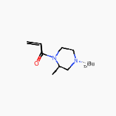 C=CC(=O)N1CCN([C@@H](C)CC)CC1C